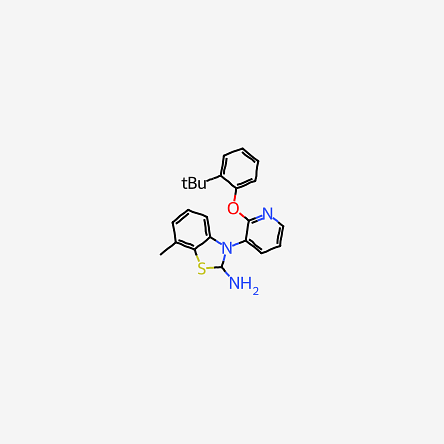 Cc1cccc2c1SC(N)N2c1cccnc1Oc1ccccc1C(C)(C)C